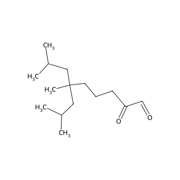 CC(C)CC(C)(CCCC(=O)C=O)CC(C)C